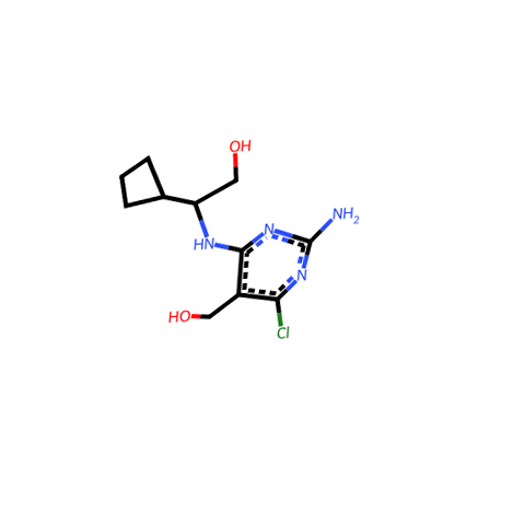 Nc1nc(Cl)c(CO)c(NC(CO)C2CCC2)n1